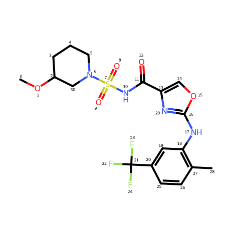 COC1CCCN(S(=O)(=O)NC(=O)c2coc(Nc3cc(C(F)(F)F)ccc3C)n2)C1